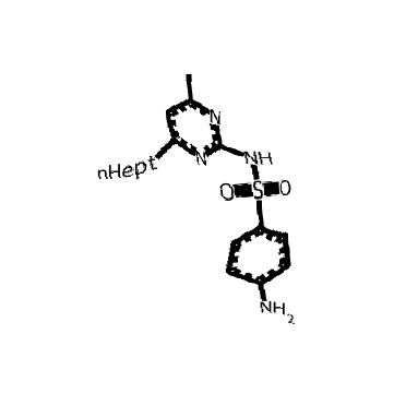 CCCCCCCc1cc(C)nc(NS(=O)(=O)c2ccc(N)cc2)n1